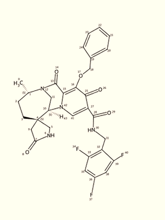 C[C@H]1CC[C@]2(CNC(=O)C2)[C@H]2CN1C(=O)c1c(OCc3ccccc3)c(=O)c(C(=O)NCc3c(F)cc(F)cc3F)cn12